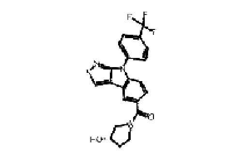 O=C(c1ccc2c(c1)c1csnc1n2-c1ccc(C(F)(F)F)cc1)N1CC[C@H](O)C1